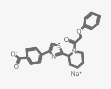 O=C([O-])c1ccc(-c2csc(C3CCCCN3C(=O)COc3ccccc3)n2)cc1.[Na+]